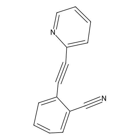 N#Cc1ccccc1C#Cc1ccccn1